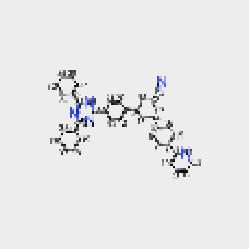 N#Cc1cc(-c2ccc(-c3ccccn3)cc2)cc(-c2ccc(-c3nc(-c4ccccc4)nc(-c4ccccc4)n3)cc2)c1